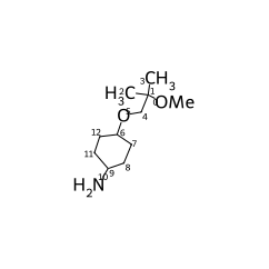 COC(C)(C)COC1CCC(N)CC1